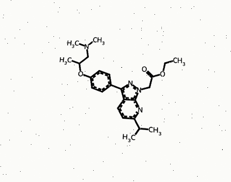 CCOC(=O)Cn1nc(-c2ccc(OC(C)CN(C)C)cc2)c2ccc(C(C)C)nc21